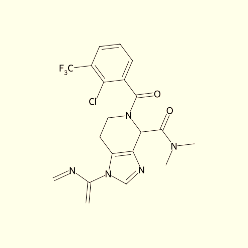 C=NC(=C)n1cnc2c1CCN(C(=O)c1cccc(C(F)(F)F)c1Cl)C2C(=O)N(C)C